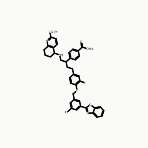 CCOC(=O)c1ccc2c(n1)CCCC2NCC(CCc1ccc(OCc2cc(Cl)cc(-c3nc4ccccc4o3)c2)c(F)c1)c1ccc(C(=O)OC)cc1